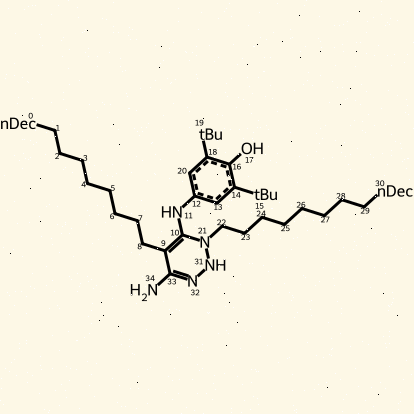 CCCCCCCCCCCCCCCCCCC1=C(Nc2cc(C(C)(C)C)c(O)c(C(C)(C)C)c2)N(CCCCCCCCCCCCCCCCCC)NN=C1N